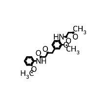 COc1cc(CC(=O)CC(=O)Nc2ccccc2OC)ccc1NC(=O)CC(C)=O